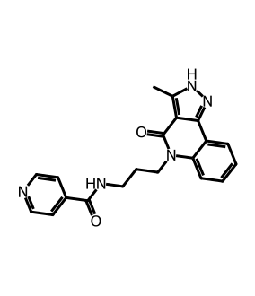 Cc1[nH]nc2c1c(=O)n(CCCNC(=O)c1ccncc1)c1ccccc21